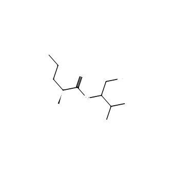 CCC[C@H](C)C(=O)NC(CO)C(C)C